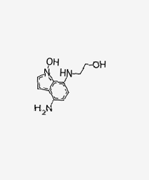 Nc1ccc(NCCO)c2c1ccn2O